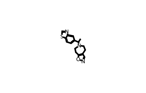 CC(c1ccc2scnc2c1)N1CCc2cnoc2CC1